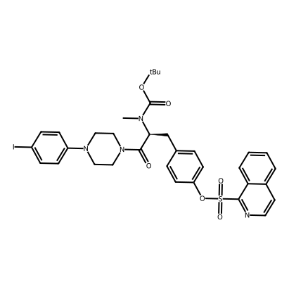 CN(C(=O)OC(C)(C)C)[C@@H](Cc1ccc(OS(=O)(=O)c2nccc3ccccc23)cc1)C(=O)N1CCN(c2ccc(I)cc2)CC1